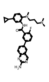 CN(C)CCCN(C)c1ccc(C2CC2)cc1NC(=O)c1cc(-c2ccc3nc(N)ncc3c2)ccc1F